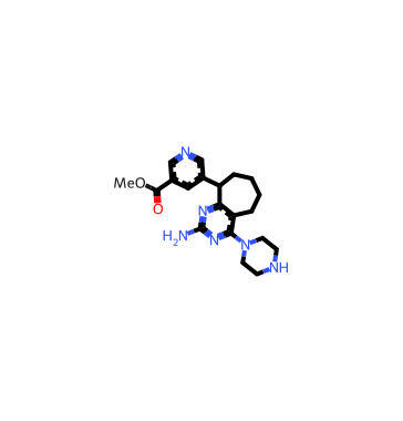 COC(=O)c1cncc(C2CCCCc3c2nc(N)nc3N2CCNCC2)c1